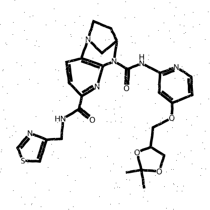 CC1(C)OCC(COc2ccnc(NC(=O)N3c4nc(C(=O)NCc5cscn5)ccc4N4CCC3C4)c2)O1